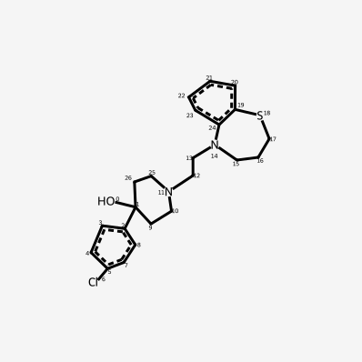 OC1(c2ccc(Cl)cc2)CCN(CCN2CCCSc3ccccc32)CC1